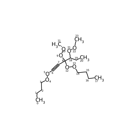 CCCCOOC#CC(OOC)(OOCCCC)C(CC)OOC